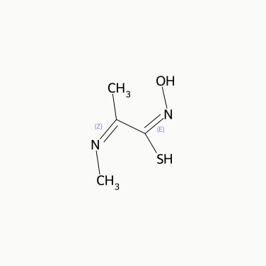 C/N=C(C)\C(S)=N/O